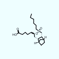 CCCCCCS(=O)(=O)C[C@@H]1[C@@H]2CC[C@@H](C2)[C@@H]1C/C=C\CCCC(=O)O